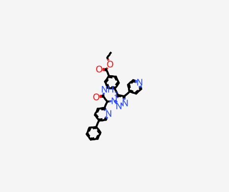 CCOC(=O)c1ccc(-c2c(-c3ccncc3)nnn2C(C(N)=O)c2ccc(-c3ccccc3)cn2)cc1